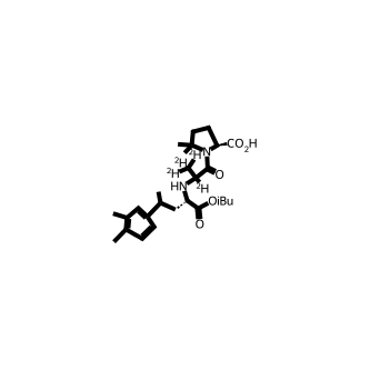 [2H]C([2H])([2H])C([2H])(N[C@@H](CC(C)c1ccc(C)c(C)c1)C(=O)OCC(C)C)C(=O)N1[C@H](C(=O)O)CCC1(C)C